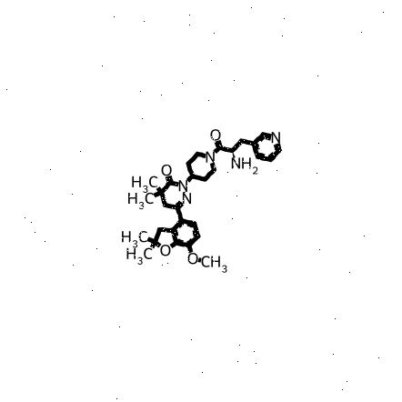 COc1ccc(C2=NN(C3CCN(C(=O)[C@@H](N)Cc4cccnc4)CC3)C(=O)C(C)(C)C2)c2c1OC(C)(C)C2